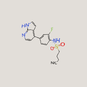 N#CCCCS(=O)(=O)Nc1ccc(-c2ccnc3[nH]ccc23)cc1F